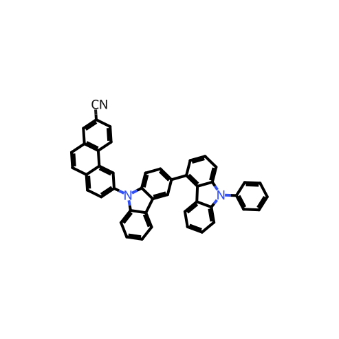 N#Cc1ccc2c(ccc3ccc(-n4c5ccccc5c5cc(-c6cccc7c6c6ccccc6n7-c6ccccc6)ccc54)cc32)c1